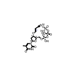 Cc1cn([C@H]2C[C@H](O/C=C/C#N)[C@@H](COP(=O)(O)OP(=O)(O)OP(=O)(O)O)O2)c(=O)[nH]c1=O